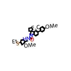 CCSc1ccc(CNC(=O)N2CC3(CCCC3)c3cc(-c4ccc(OC)cc4C(F)(F)F)ccc32)c(OC)c1